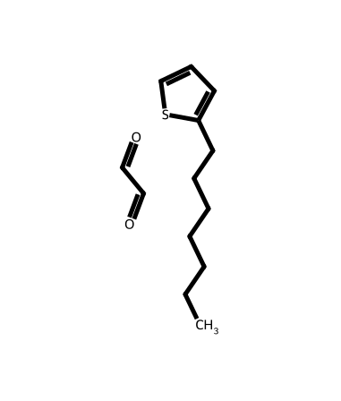 CCCCCCCc1cccs1.O=CC=O